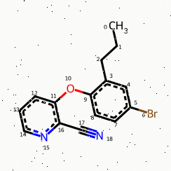 CCCc1cc(Br)ccc1Oc1cccnc1C#N